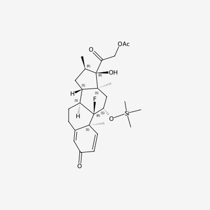 CC(=O)OCC(=O)[C@@]1(O)[C@H](C)C[C@H]2[C@@H]3CCC4=CC(=O)C=C[C@]4(C)[C@@]3(F)[C@@H](O[Si](C)(C)C)C[C@@]21C